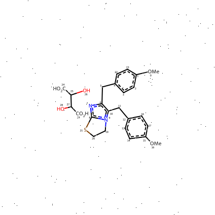 COc1ccc(Cc2nc3n(c2Cc2ccc(OC)cc2)CCS3)cc1.O=C(O)C(O)C(O)C(=O)O